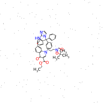 CCOC(=O)c1cn(CCCN(C=O)OC(C)(C)C)c2cc(CCNc3nccn3C(c3ccccc3)(c3ccccc3)c3ccccc3)ccc2c1=O